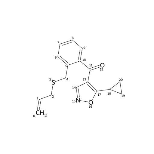 C=CCSCc1ccccc1C(=O)c1cnoc1C1CC1